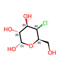 OC[C@H]1O[C@H](O)[C@H](O)[C@@H](O)[C@H]1Cl